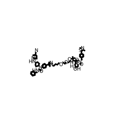 Cc1ncsc1-c1ccc(CNC(=O)[C@@H]2C[C@@H](O)CN2C(=O)[C@@H](NC(=O)COCCOCCCCn2cc(-c3ccc(N(C(=O)NCc4ccccc4)C4CCC(Nc5ccc(C#N)cn5)CC4)cc3)cn2)C(C)(C)C)cc1